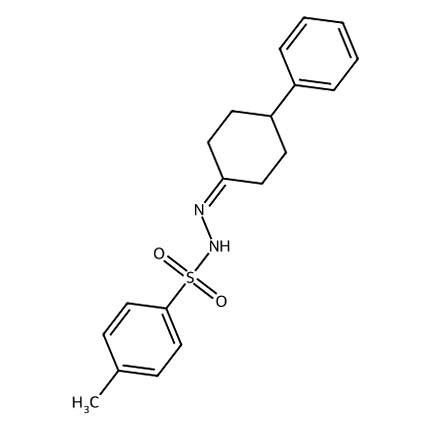 Cc1ccc(S(=O)(=O)NN=C2CCC(c3ccccc3)CC2)cc1